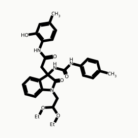 CCOC(CN1C(=O)C(CC(=O)Nc2ccc(C)cc2O)(NC(=O)Nc2ccc(C)cc2)c2ccccc21)OCC